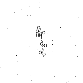 COC(=O)/C=C/C(=O)OCCCNC(=O)[C@H]1COCO1